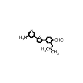 CN(C)Cc1cc(-c2ccc(-c3cncc(N)c3)s2)ccc1C=O